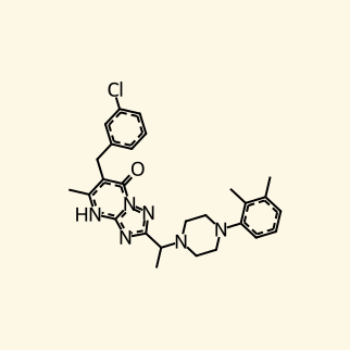 Cc1cccc(N2CCN(C(C)c3nc4[nH]c(C)c(Cc5cccc(Cl)c5)c(=O)n4n3)CC2)c1C